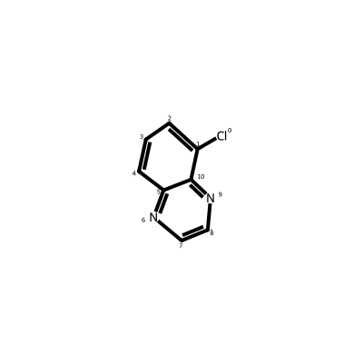 Clc1cccc2nc[c]nc12